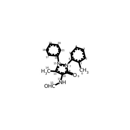 Cc1ccccc1-n1c(=O)c(NC=O)c(C)n1-c1ccccc1